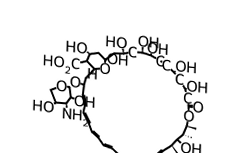 C[C@@H]1OC(=O)CC(O)C[C@H](O)CCC(O)[C@H](O)C[C@H](O)CC2(O)C[C@H](O)C(C(=O)O)[C@H](CC(OC3OCC(O)[C@H](N)C3O)/C=C/C=C/C=C/C=C/C=C/C=C/C=C/[C@H](C)C(O)[C@H]1C)O2